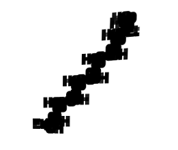 CCC(CO)COP(=O)(O)OCCOP(=O)(O)OCCOP(=O)(O)OCCOP(=O)(O)OCCOP(=O)(O)OCCOP(=O)(O)OCCOP(=O)(O)OCCOP(=O)(O)OCC(CC)COP(=O)(O)O